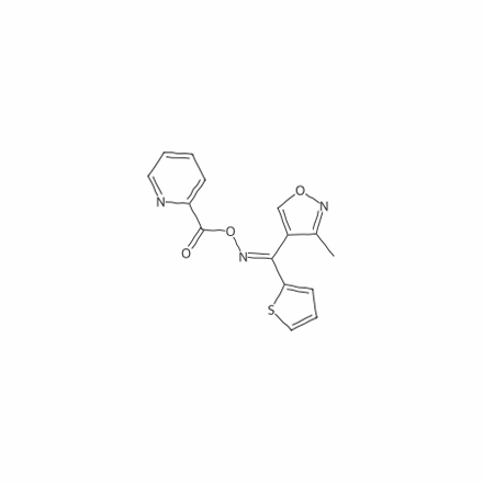 Cc1nocc1/C(=N\OC(=O)c1ccccn1)c1cccs1